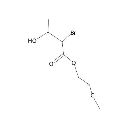 CCCCOC(=O)C(Br)C(C)O